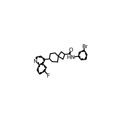 O=C(Nc1cccc(Br)c1)C1CC2(CCC(c3ccnc4ccc(F)cc34)CC2)C1